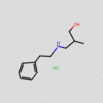 CC(CO)CNCCc1ccccc1.Cl